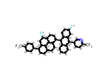 Fc1ccc2c(-c3ccc4c(F)cc5c(-c6ccc(C(F)(F)F)cc6)ccc6ccc3c4c65)c3ccccc3c(-c3ccc(C(F)(F)F)nc3)c2c1